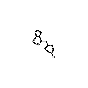 Brc1ccc(Cc2nccc3sccc23)cc1